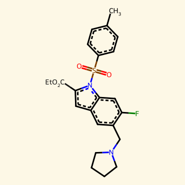 CCOC(=O)c1cc2cc(CN3CCCC3)c(F)cc2n1S(=O)(=O)c1ccc(C)cc1